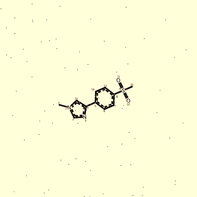 Cn1cnc(-c2ccc(S(C)(=O)=O)cc2)c1